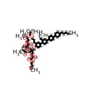 C=C(C)C(=O)OCCCc1cc(-c2ccc(-c3ccc(C4CCC(CCCCC)CC4)cc3F)cc2CC)ccc1OCC(COC(=O)C(=C)C)(COC(=O)C(=O)OCCOC)COC(=O)C(=O)OCCOC